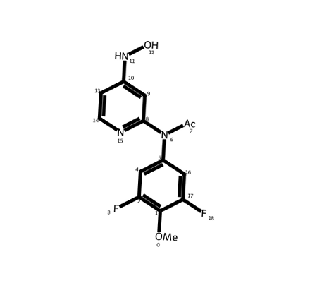 COc1c(F)cc(N(C(C)=O)c2cc(NO)ccn2)cc1F